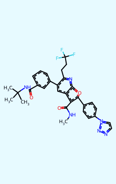 CNC(=O)c1c(-c2ccc(-n3ccnn3)cc2)oc2nc(CCC(F)(F)F)c(-c3cccc(C(=O)NC(C)(C)C)c3)cc12